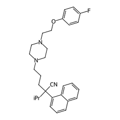 CC(C)C(C#N)(CCCN1CCN(CCOc2ccc(F)cc2)CC1)c1cccc2ccccc12